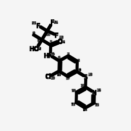 CC(O)(C(=O)Nc1ccc(Sc2ccccn2)cc1Cl)C(F)(F)F